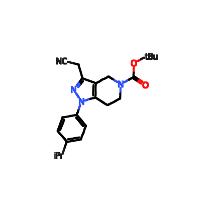 CC(C)c1ccc(-n2nc(CC#N)c3c2CCN(C(=O)OC(C)(C)C)C3)cc1